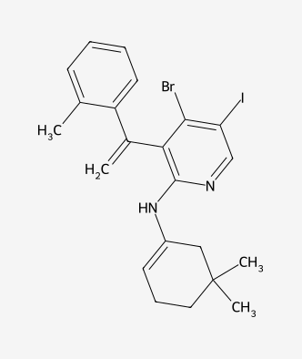 C=C(c1ccccc1C)c1c(NC2=CCCC(C)(C)C2)ncc(I)c1Br